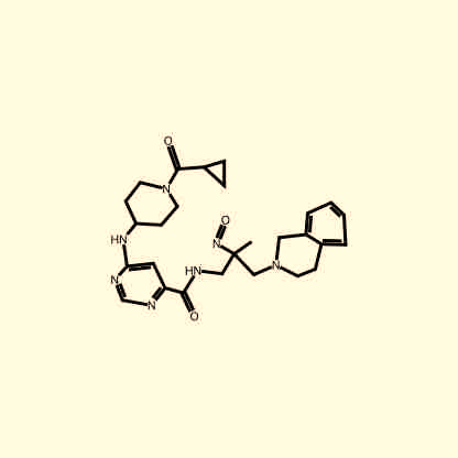 CC(CNC(=O)c1cc(NC2CCN(C(=O)C3CC3)CC2)ncn1)(CN1CCc2ccccc2C1)N=O